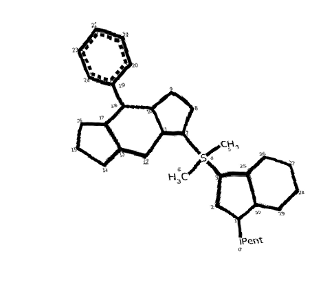 CCCC(C)C1CC(S(C)(C)C2CCC3C2CC2CCCC2C3c2ccccc2)C2CCCCC12